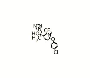 CC(O)(Cn1cncn1)c1ccc(Oc2ccc(Cl)cc2)nc1C(F)(F)F